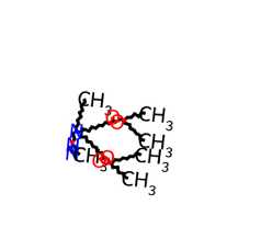 CCCCCCCCCN(CCCn1cnc(C)c1)C(CCCCCCCCC(=O)OCC(CCCCCC)CCCCCCCC)CCCCCCCCC(=O)OCC(CCCCCC)CCCCCCCC